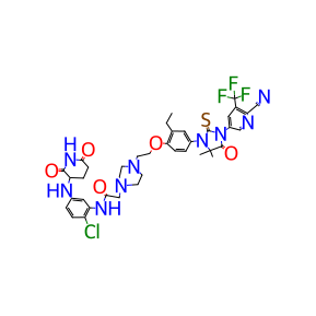 CCc1cc(N2C(=S)N(c3cnc(C#N)c(C(F)(F)F)c3)C(=O)C2(C)C)ccc1OCCN1CCN(CC(=O)Nc2cc(NC3CCC(=O)NC3=O)ccc2Cl)CC1